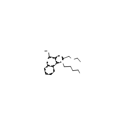 CCOCc1nc2c(NCl)nc3ccccc3c2n1CCCCO